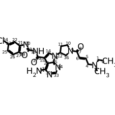 CCN(C)C/C=C/C(=O)N1CCC(n2cc(C(=O)Nc3nc4cc(Cl)ccc4o3)c3c(N)ncnc32)C1